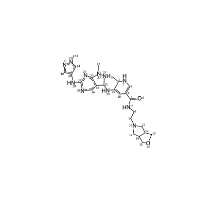 CC1NC=C(C(=O)NCCN2CC3COCC3C2)C=C1NC1NN(C)c2nc(Nc3cnn(C)c3)ncc21